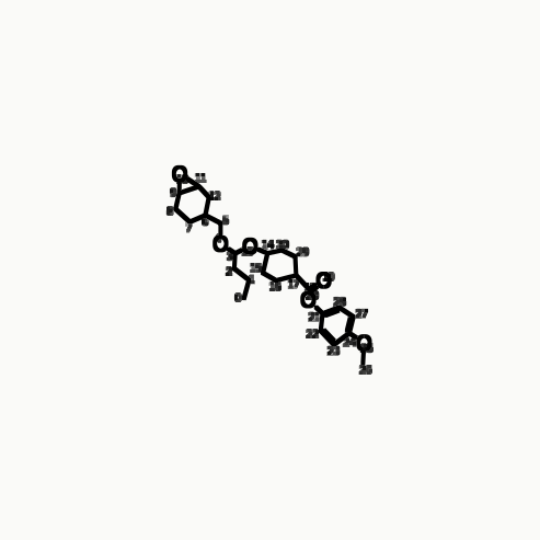 CCCC(OCC1CCC2OC2C1)OC1CCC(C(=O)Oc2ccc(OC)cc2)CC1